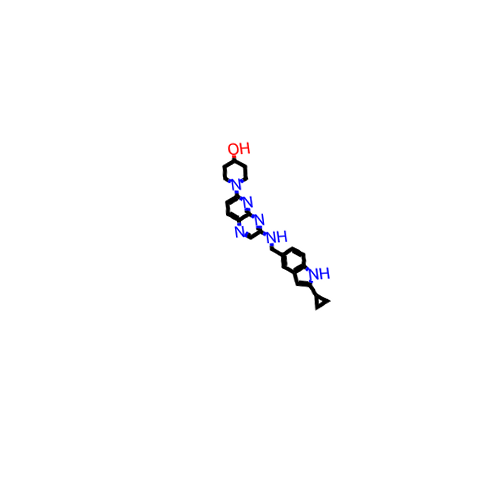 OC1CCN(c2ccc3ncc(NCc4ccc5[nH]c(C6CC6)cc5c4)nc3n2)CC1